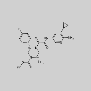 CC(C)OC(=O)N1C[C@H](c2ccc(F)cc2)N(C(=O)C(=O)Nc2cnc(N)c(C3CC3)c2)C[C@@H]1C